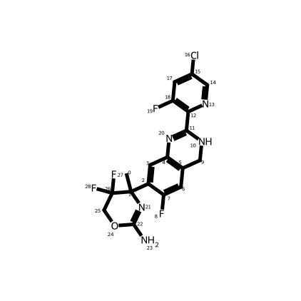 CC1(c2cc3c(cc2F)CNC(c2ncc(Cl)cc2F)=N3)N=C(N)OCC1(F)F